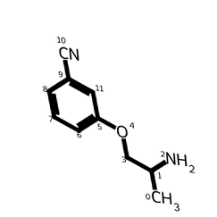 CC(N)COc1cccc(C#N)c1